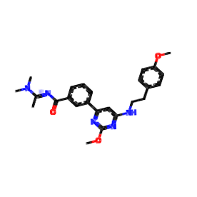 COc1ccc(CCNc2cc(-c3cccc(C(=O)/N=C(\C)N(C)C)c3)nc(OC)n2)cc1